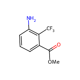 COC(=O)c1cccc(N)c1C(F)(F)F